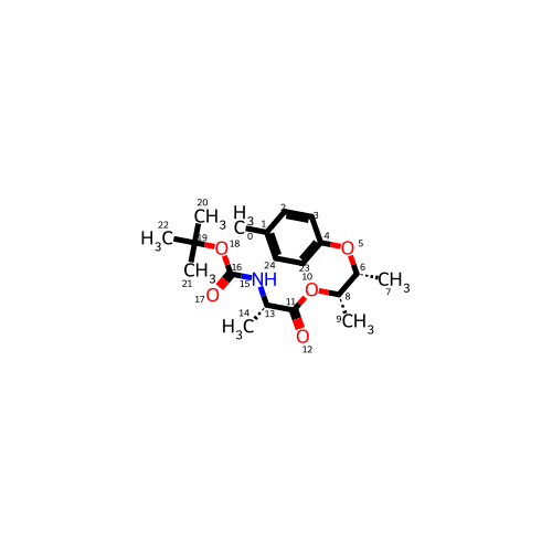 Cc1ccc(O[C@H](C)[C@H](C)OC(=O)[C@H](C)NC(=O)OC(C)(C)C)cc1